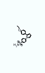 CCOc1ccc(-c2cccn2-c2ccc(S(N)(=O)=O)cc2)cc1